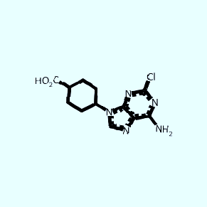 Nc1nc(Cl)nc2c1ncn2C1CCC(C(=O)O)CC1